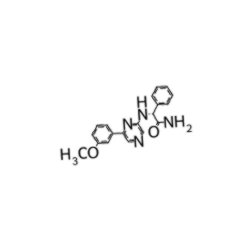 COc1cccc(-c2cncc(N[C@@H](C(N)=O)c3ccccc3)n2)c1